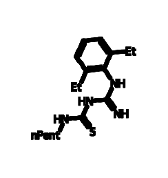 CCCCCNC(=S)NC(=N)Nc1c(CC)cccc1CC